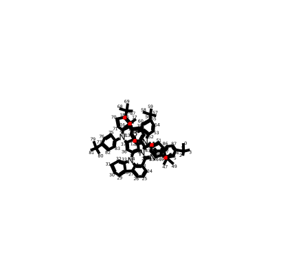 CC(C)(C)c1ccc(-c2nc(-c3ccc(C(C)(C)C)cc3)nc(-c3cccc4c5ccccc5n(-c5cc6c7c(c5)N(c5ccc(C(C)(C)C)cc5)c5ccc(C(C)(C)C)cc5B7c5cc(C(C)(C)C)ccc5N6c5ccc(C(C)(C)C)cc5)c34)n2)cc1